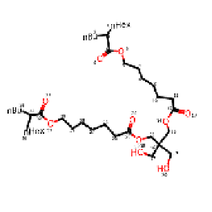 CCCCCCC(CCCC)C(=O)OCCCCCCC(=O)OCC(CO)(CO)COC(=O)CCCCCCOC(=O)C(CCCC)CCCCCC